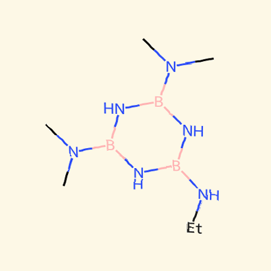 CCNB1NB(N(C)C)NB(N(C)C)N1